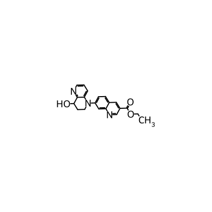 CCOC(=O)c1cnc2cc(N3CCC(O)c4ncccc43)ccc2c1